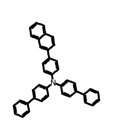 c1ccc(-c2ccc(N(c3ccc(-c4ccccc4)cc3)c3ccc(-c4ccc5ccccc5c4)cc3)cc2)cc1